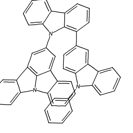 c1ccc(-n2c3ccccc3c3cc(-c4cccc5c6ccccc6n(-c6cc7c8ccccc8n8c9ccccc9c(c6)c78)c45)ccc32)cc1